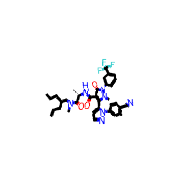 CCCC(CCC)CN(C)C(=O)[C@H](C)NC(=O)c1c(-c2ccnn2-c2ccc(C#N)cc2)n(C)n(-c2cccc(C(F)(F)F)c2)c1=O